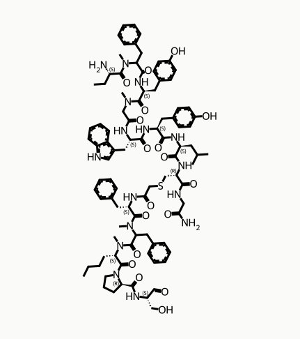 CCCC[C@@H](C(=O)N1CCC[C@@H]1C(=O)N[C@H](C=O)CO)N(C)C(=O)C(Cc1ccccc1)N(C)C(=O)[C@H](Cc1ccccc1)NC(=O)CSC[C@H](NC(=O)[C@H](CC(C)C)NC(=O)[C@H](Cc1ccc(O)cc1)NC(=O)[C@H](Cc1c[nH]c2ccccc12)NC(=O)CN(C)C(=O)[C@H](Cc1ccc(O)cc1)NC(=O)C(Cc1ccccc1)N(C)C(=O)[C@@H](N)CC)C(=O)NCC(N)=O